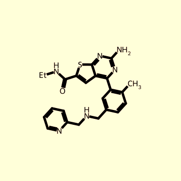 CCNC(=O)c1cc2c(-c3cc(CNCc4ccccn4)ccc3C)nc(N)nc2s1